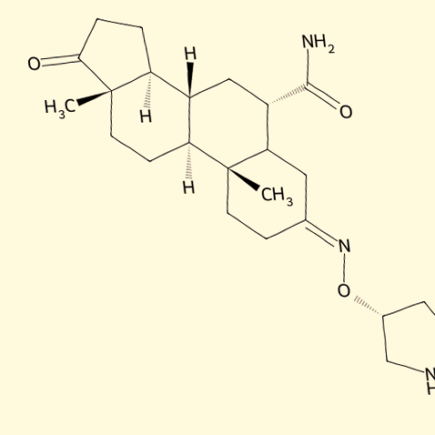 C[C@]12CC/C(=N\O[C@@H]3CCNC3)CC1[C@@H](C(N)=O)C[C@@H]1[C@@H]2CC[C@]2(C)C(=O)CC[C@@H]12